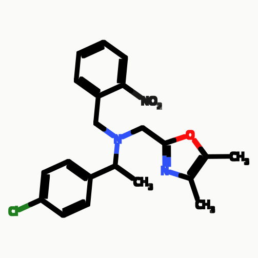 Cc1nc(CN(Cc2ccccc2[N+](=O)[O-])C(C)c2ccc(Cl)cc2)oc1C